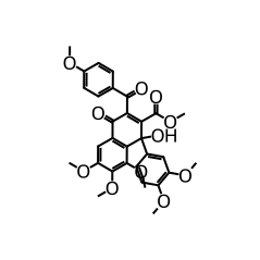 COC(=O)C1=C(C(=O)c2ccc(OC)cc2)C(=O)c2cc(OC)c(OC)c(OC)c2C1(O)c1ccc(OC)c(OC)c1